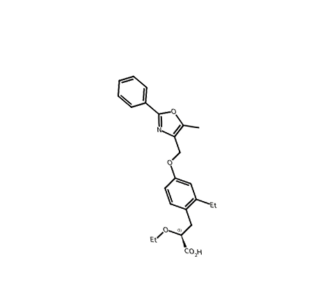 CCO[C@@H](Cc1ccc(OCc2nc(-c3ccccc3)oc2C)cc1CC)C(=O)O